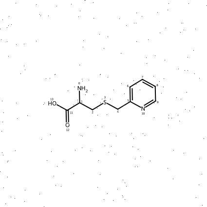 NC(CSCc1ccccn1)C(=O)O